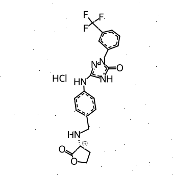 Cl.O=C1OCC[C@H]1NCc1ccc(Nc2nn(-c3cccc(C(F)(F)F)c3)c(=O)[nH]2)cc1